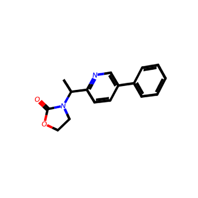 CC(c1ccc(-c2ccccc2)cn1)N1CCOC1=O